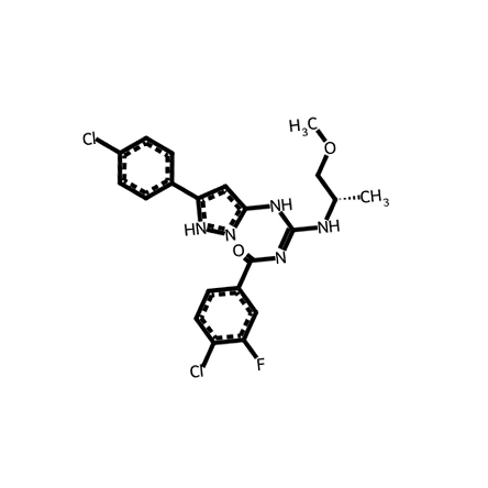 COC[C@H](C)N/C(=N/C(=O)c1ccc(Cl)c(F)c1)Nc1cc(-c2ccc(Cl)cc2)[nH]n1